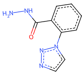 NNC(=O)c1ccccc1-n1ccnn1